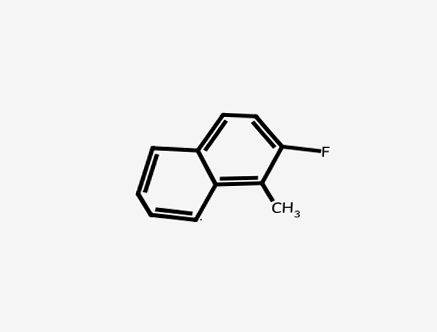 Cc1c(F)ccc2ccc[c]c12